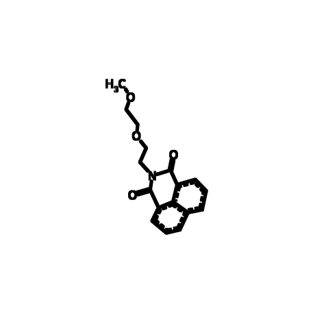 COCCOCCN1C(=O)c2cccc3cccc(c23)C1=O